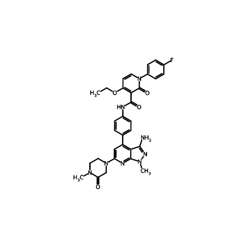 CCOc1ccn(-c2ccc(F)cc2)c(=O)c1C(=O)Nc1ccc(-c2cc(N3CCN(C)C(=O)C3)nc3c2c(N)nn3C)cc1